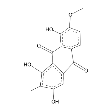 COc1ccc2c(c1O)C(=O)c1c(cc(O)c(C)c1O)C2=O